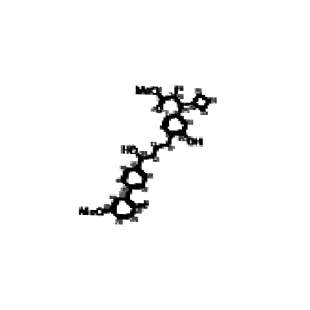 COC(=O)[C@@H](C)[C@H](c1ccc(CCCC(O)c2ccc(-c3cc(OC)ccc3F)cc2)c(O)c1)C1CCC1